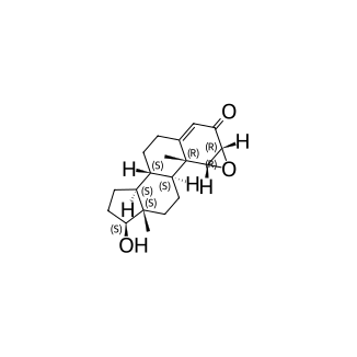 C[C@]12CC[C@H]3[C@@H](CCC4=CC(=O)[C@@H]5O[C@@H]5[C@@]43C)[C@@H]1CC[C@@H]2O